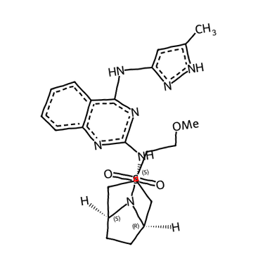 COCCS(=O)(=O)N1[C@@H]2CC[C@H]1C[C@H](Nc1nc(Nc3cc(C)[nH]n3)c3ccccc3n1)C2